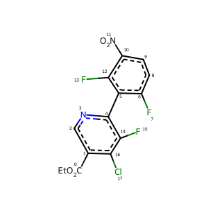 CCOC(=O)c1cnc(-c2c(F)ccc([N+](=O)[O-])c2F)c(F)c1Cl